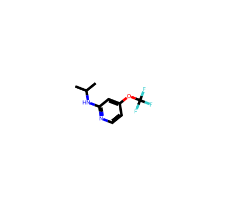 CC(C)Nc1cc(OC(F)(F)F)ccn1